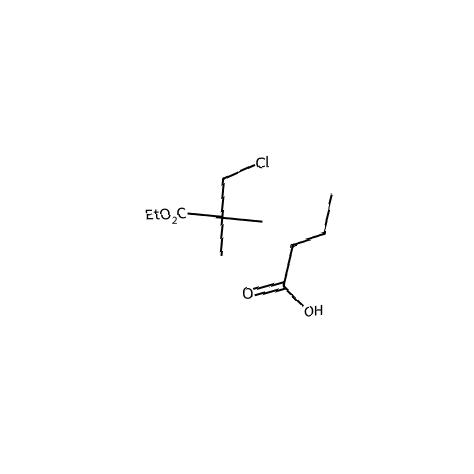 CCCC(=O)O.CCOC(=O)C(C)(C)CCl